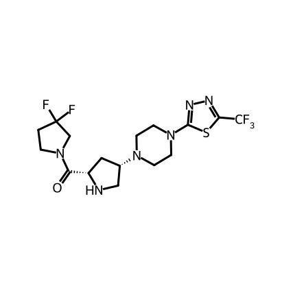 O=C([C@@H]1C[C@H](N2CCN(c3nnc(C(F)(F)F)s3)CC2)CN1)N1CCC(F)(F)C1